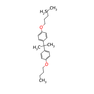 CCCCOc1ccc(C(C)(C)c2ccc(OCCC[SiH2]C)cc2)cc1